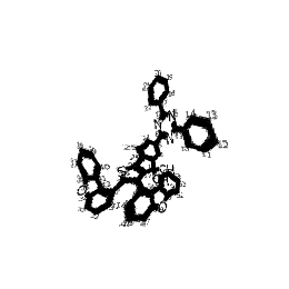 CC1(C)c2cc(-c3nc(-c4ccccc4)nc(-c4ccccc4)n3)ccc2-c2sc(-c3cccc4oc5ccccc5c34)c(-c3cccc4oc5ccccc5c34)c21